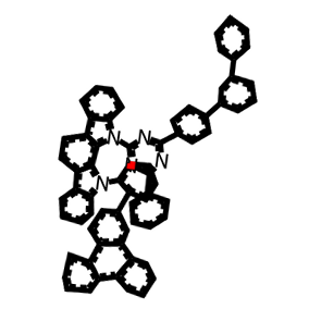 c1ccc(-c2cccc(-c3ccc(-c4nc(-c5ccccc5)nc(-n5c6ccccc6c6ccc7c8ccccc8n(-c8ccccc8-c8ccc9c%10ccccc%10c%10ccccc%10c9c8)c7c65)n4)cc3)c2)cc1